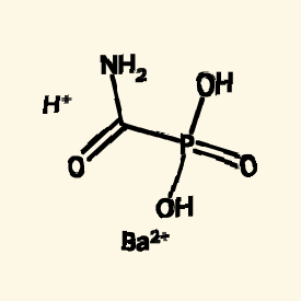 NC(=O)P(=O)(O)O.[Ba+2].[H+]